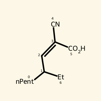 CCCCCC(C=C(C#N)C(=O)O)CC